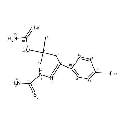 CC(C)(CC(=NNC(N)=S)c1ccc(F)cc1)OC(N)=O